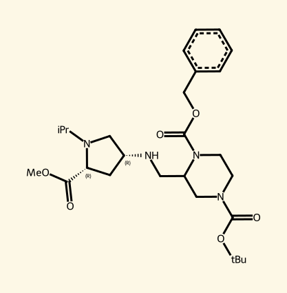 COC(=O)[C@H]1C[C@@H](NCC2CN(C(=O)OC(C)(C)C)CCN2C(=O)OCc2ccccc2)CN1C(C)C